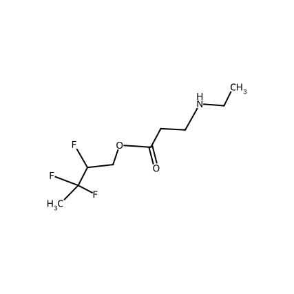 CCNCCC(=O)OCC(F)C(C)(F)F